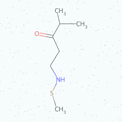 CSNCCC(=O)C(C)C